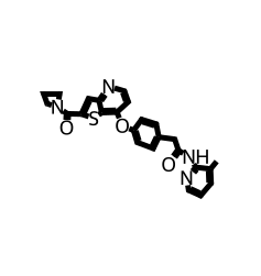 Cc1cccnc1NC(=O)Cc1ccc(Oc2ccnc3cc(C(=O)N4CCC4)sc23)cc1